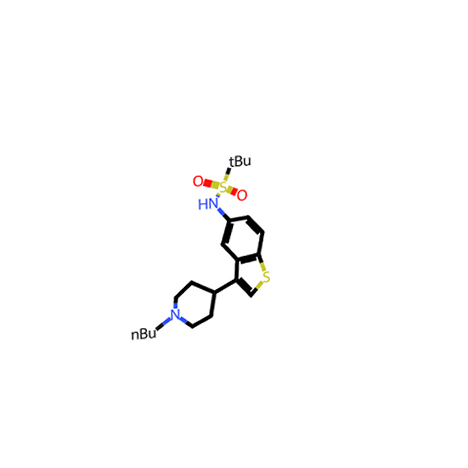 CCCCN1CCC(c2csc3ccc(NS(=O)(=O)C(C)(C)C)cc23)CC1